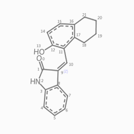 O=C1Nc2ccccc2/C1=C/c1c(O)ccc2c1CCCC2